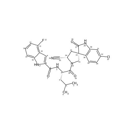 CC(C)C[C@H](NC(=O)c1cc2c(F)cccc2[nH]1)C(=O)N1C[C@]2(C[C@H]1C#N)C(=O)Nc1cc(Cl)ccc12